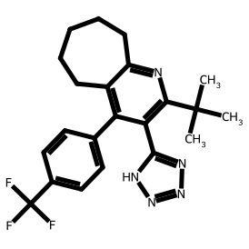 CC(C)(C)c1nc2c(c(-c3ccc(C(F)(F)F)cc3)c1-c1nnn[nH]1)CCCCC2